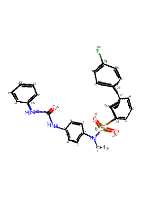 CN(c1ccc(NC(=O)Nc2ccccc2)cc1)S(=O)(=O)c1cccc(-c2ccc(F)cc2)c1